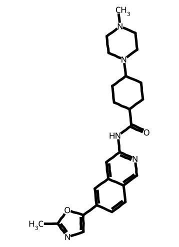 Cc1ncc(-c2ccc3cnc(NC(=O)C4CCC(N5CCN(C)CC5)CC4)cc3c2)o1